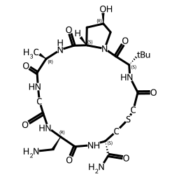 C[C@H]1NC(=O)[C@@H]2C[C@@H](O)CN2C(=O)[C@H](C(C)(C)C)NC(=O)CSC[C@H](C(N)=O)NC(=O)[C@@H](CN)NC(=O)CNC1=O